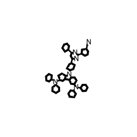 N#Cc1cccc(-c2nc(-c3ccccc3)cc(-c3ccc(-n4c5ccc(N(c6ccccc6)c6ccccc6)cc5c5cc(N(c6ccccc6)c6ccccc6)ccc54)cc3)n2)c1